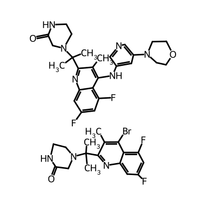 Cc1c(C(C)(C)N2CCNC(=O)C2)nc2cc(F)cc(F)c2c1Br.Cc1c(C(C)(C)N2CCNC(=O)C2)nc2cc(F)cc(F)c2c1Nc1cncc(N2CCOCC2)c1